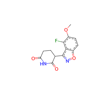 COc1ccc2onc(C3CCC(=O)NC3=O)c2c1F